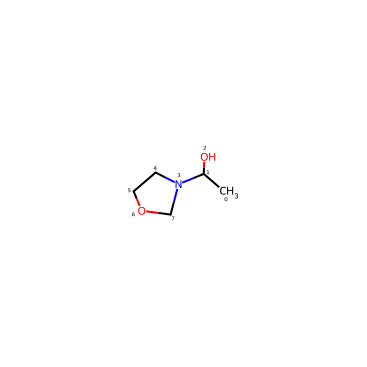 CC(O)N1CCOC1